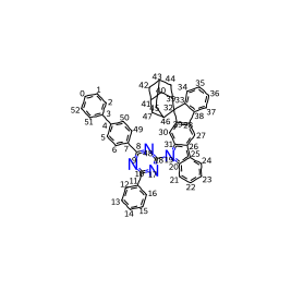 c1ccc(-c2ccc(-c3nc(-c4ccccc4)nc(-n4c5ccccc5c5cc6c(cc54)C4(c5ccccc5-6)C5CC6CC(C5)CC4C6)n3)cc2)cc1